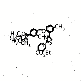 CCOC(=O)C1CCN(C2=NC(c3cc(C)ccc3OCc3ccc(B4OC(C)(C)C(C)(C)O4)cc3C)CS2)CC1